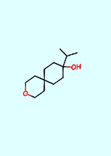 CC(C)C1(O)CCC2(CCOCC2)CC1